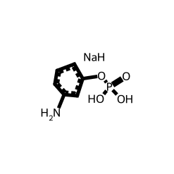 Nc1cccc(OP(=O)(O)O)c1.[NaH]